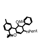 C=C(C)c1ccc(C)cc1C1C(OC)=CC(CCCCC)C(c2ccccc2)C1OC